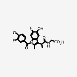 Cc1c(C(C)C(=O)NCC(=O)O)c2cc(O)c(F)cc2n1C(=O)c1ccc(Cl)c(F)c1